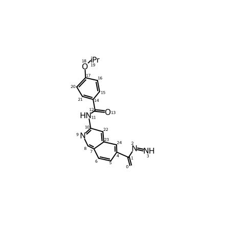 C=C(N=N)c1ccc2cnc(NC(=O)c3ccc(OC(C)C)cc3)cc2c1